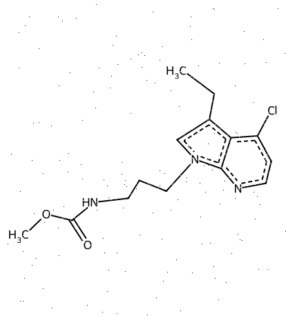 CCc1cn(CCCNC(=O)OC)c2nccc(Cl)c12